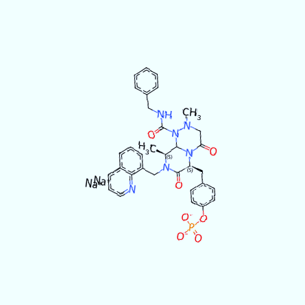 C[C@H]1C2N(C(=O)CN(C)N2C(=O)NCc2ccccc2)[C@@H](Cc2ccc(OP(=O)([O-])[O-])cc2)C(=O)N1Cc1cccc2cccnc12.[Na+].[Na+]